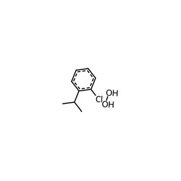 CC(C)c1ccccc1Cl.OO